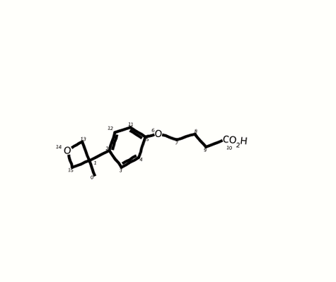 CC1(c2ccc(OCCCC(=O)O)cc2)COC1